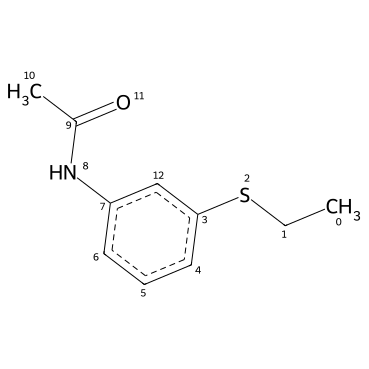 CCSc1cccc(NC(C)=O)c1